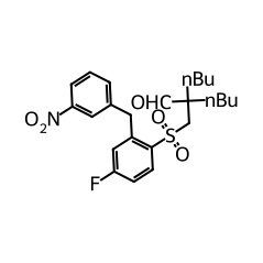 CCCCC(C=O)(CCCC)CS(=O)(=O)c1ccc(F)cc1Cc1cccc([N+](=O)[O-])c1